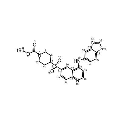 CC(C)(C)OC(=O)N1CCC(S(=O)(=O)c2ccc3nccc(Nc4ccc5scnc5c4)c3c2)CC1